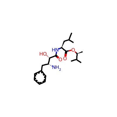 CC(C)C[C@H](NC(=O)[C@@H](O)[C@H](N)Cc1ccccc1)C(=O)O[C@@H](C)C(C)C